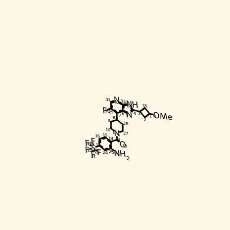 COC1CC(c2nc3c(C4CCN(C(=O)c5ccc(S(F)(F)(F)(F)F)cc5N)CC4)c(F)cnc3[nH]2)C1